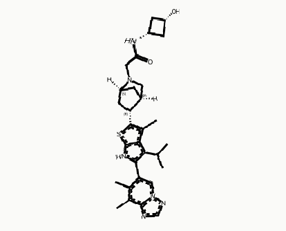 Cc1c(-c2[nH]c3sc([C@@H]4C[C@@H]5C[C@H]4CN5CC(=O)N[C@H]4C[C@@H](O)C4)c(C)c3c2C(C)C)cn2ncnc2c1C